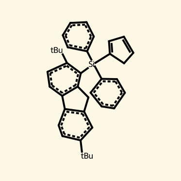 CC(C)(C)c1ccc2c(c1)Cc1c-2ccc(C(C)(C)C)c1[Si](C1=CC=CC1)(c1ccccc1)c1ccccc1